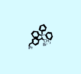 CC(C)Cc1ccc(C(C)[P+](c2ccccc2)(c2ccccc2)c2ccccc2)cc1.[Br-]